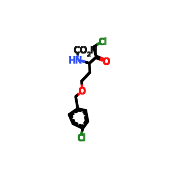 O=C(O)NC(CCOCc1ccc(Cl)cc1)C(=O)CCl